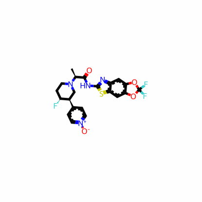 C[C@@H](C(=O)Nc1nc2cc3c(cc2s1)OC(F)(F)O3)N1CC[C@@H](F)[C@H](c2cc[n+]([O-])cc2)C1